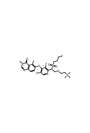 Cc1c(Oc2c(F)cnc(N(COCC[Si](C)(C)C)S(=O)(=O)CCCF)c2F)ccc2ncn(C)c(=O)c12